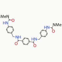 CNC(=O)Nc1ccc(CNC(=O)c2ccc(C(=O)NCc3ccc(NC(=O)NC)cc3)cc2)cc1